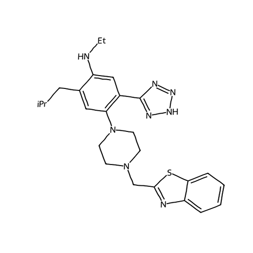 CCNc1cc(-c2nn[nH]n2)c(N2CCN(Cc3nc4ccccc4s3)CC2)cc1CC(C)C